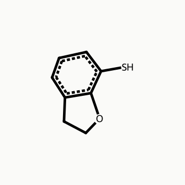 Sc1cccc2c1OCC2